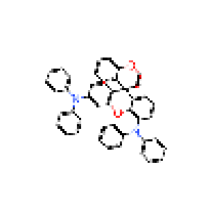 c1ccc(N(c2ccccc2)c2ccc3c(c2)Oc2c(N(c4ccccc4)c4ccccc4)cccc2C32c3ccccc3Oc3ccccc32)cc1